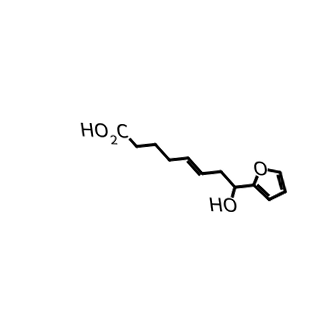 O=C(O)CCCC=CCC(O)c1ccco1